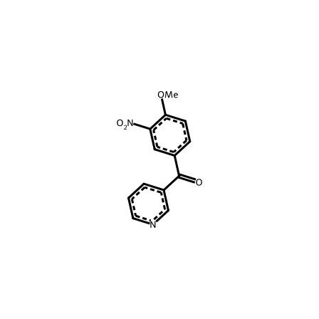 COc1ccc(C(=O)c2cccnc2)cc1[N+](=O)[O-]